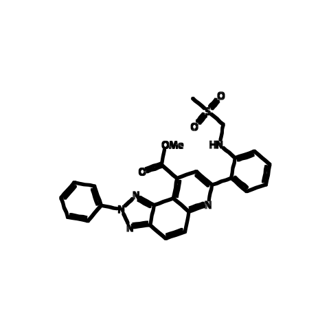 COC(=O)c1cc(-c2ccccc2NCS(C)(=O)=O)nc2ccc3nn(-c4ccccc4)nc3c12